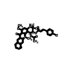 COc1cc2c(c3c1c(=O)c1cc4ccccc4cc1n3C)[C@H](OC(C)=O)[C@H](OC(=O)C=Cc1ccc(Cl)cc1)C(C)(C)O2